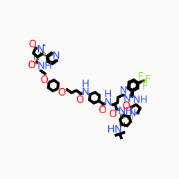 CC(=O)N[C@@H]1C[C@H](NC(C)(C)C)CC[C@@H]1N1CCC(Nc2nc(CCCNC(=O)C3CCC(NC(=O)CCCOC4CCC(OCCNC(=O)[C@H]5CC(=O)N(C)[C@@H]5c5cccnc5)CC4)CC3)nc3ccc(C(F)(F)F)cc23)C1=O